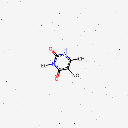 CCn1c(=O)[nH]c(C)c([N+](=O)[O-])c1=O